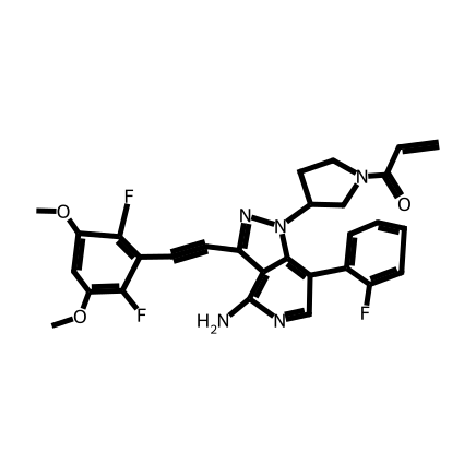 C=CC(=O)N1CCC(n2nc(C#Cc3c(F)c(OC)cc(OC)c3F)c3c(N)ncc(-c4ccccc4F)c32)C1